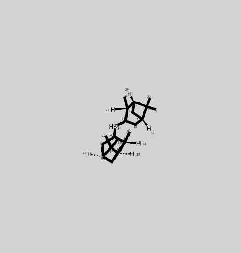 C[C@H]1C(BC2C[C@@H]3C[C@H]([C@H]2C)C3(C)C)C[C@@H]2C[C@H]1C2(C)C